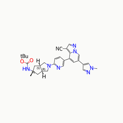 Cn1cc(-c2cc(-c3ccc(N4C[C@@H]5C[C@](C)(NC(=O)OC(C)(C)C)C[C@@H]5C4)nc3)c3c(C#N)cnn3c2)cn1